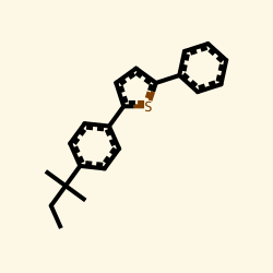 CCC(C)(C)c1ccc(-c2ccc(-c3ccccc3)s2)cc1